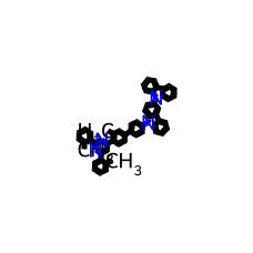 Cc1ccccc1-c1cc(-c2ccc(-c3ccc(-n4c5ccccc5c5cc(-n6c7ccccc7c7ccccc76)ccc54)cc3)cc2C)nc(-c2ccccc2C)n1